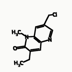 CCc1cc2ncc(CCl)cc2n(C)c1=O